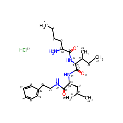 CCCC[C@H](N)C(=O)N[C@H](C(=O)N[C@@H](CC(C)C)C(=O)NCCc1ccccc1)C(C)CC.Cl